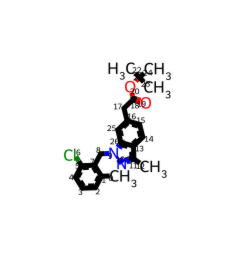 Cc1cccc(Cl)c1Cn1nc(C)c2ccc(CC(=O)OC(C)(C)C)cc21